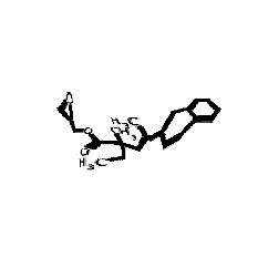 CCC(C)(CC(C)c1ccc2ccccc2c1)C(=O)OCC1CO1